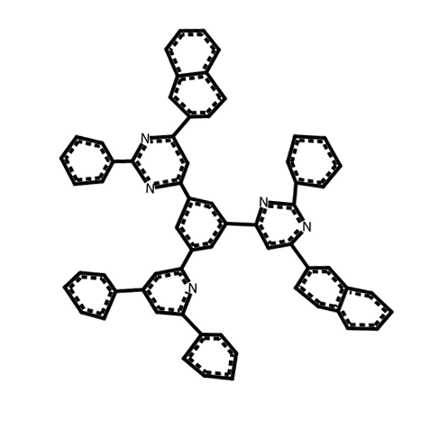 c1ccc(-c2cc(-c3ccccc3)nc(-c3cc(-c4cc(-c5ccc6ccccc6c5)nc(-c5ccccc5)n4)cc(-c4cc(-c5ccc6ccccc6c5)nc(-c5ccccc5)n4)c3)c2)cc1